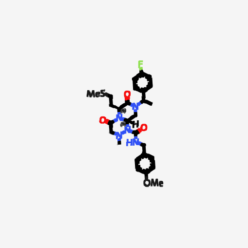 COc1ccc(CNC(=O)N2[C@H]3CN(C(C)c4ccc(F)cc4)C(=O)[C@H](CCSC)N3C(=O)CN2C)cc1